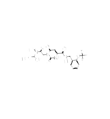 CC(C)N(C)C(=O)Cn1c(=O)cc(C(=O)NCc2ccccc2OC(F)(F)F)[nH]c1=O